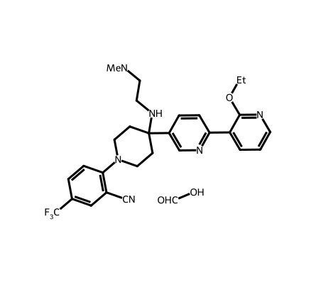 CCOc1ncccc1-c1ccc(C2(NCCNC)CCN(c3ccc(C(F)(F)F)cc3C#N)CC2)cn1.O=CO